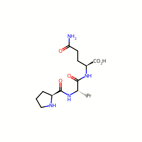 CC(C)[C@H](NC(=O)[C@@H]1CCCN1)C(=O)N[C@@H](CCC(N)=O)C(=O)O